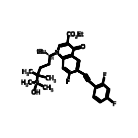 CCOC(=O)c1cn([C@H](CCC(C)(C)[Si](C)(C)O)C(C)(C)C)c2cc(F)c(C#Cc3ccc(F)cc3F)cc2c1=O